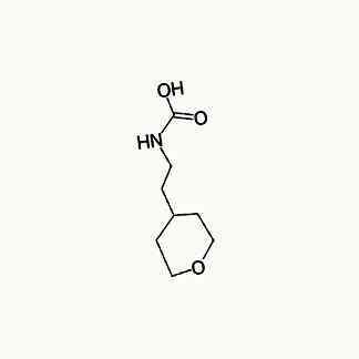 O=C(O)NCCC1CCOCC1